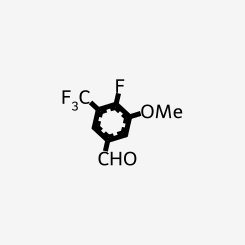 COc1cc(C=O)cc(C(F)(F)F)c1F